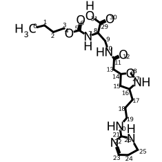 CCCCOC(=O)NC(CNC(=O)CC1CC(CCCNC2N=CCCN2)NO1)C(=O)O